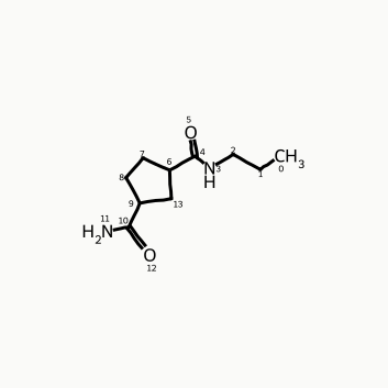 CCCNC(=O)C1CCC(C(N)=O)C1